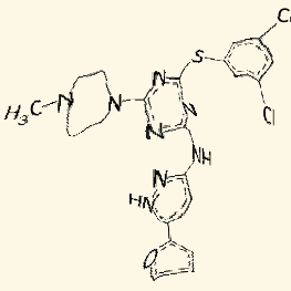 CN1CCN(c2nc(Nc3cc(-c4ccco4)[nH]n3)nc(Sc3cc(Cl)cc(Cl)c3)n2)CC1